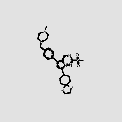 CN1CCN(Cc2ccc(-c3cc(C4CCC5(CC4)OCCO5)n4nc(S(C)(=O)=O)ncc34)cc2)CC1